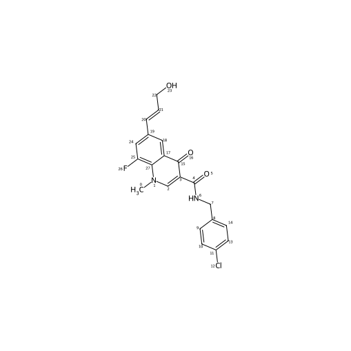 Cn1cc(C(=O)NCc2ccc(Cl)cc2)c(=O)c2cc(C=CCO)cc(F)c21